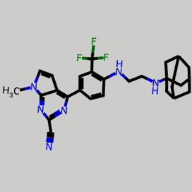 Cn1ccc2c(-c3ccc(NCCNC45CC6CC(CC(C6)C4)C5)c(C(F)(F)F)c3)nc(C#N)nc21